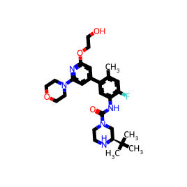 Cc1cc(F)c(NC(=O)N2CCN[C@H](C(C)(C)C)C2)cc1-c1cc(OCCO)nc(N2CCOCC2)c1